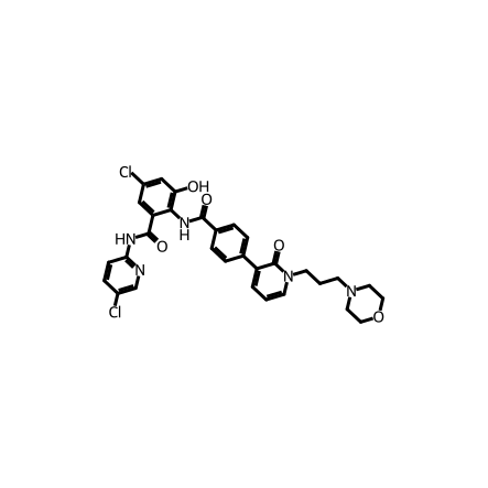 O=C(Nc1c(O)cc(Cl)cc1C(=O)Nc1ccc(Cl)cn1)c1ccc(-c2cccn(CCCN3CCOCC3)c2=O)cc1